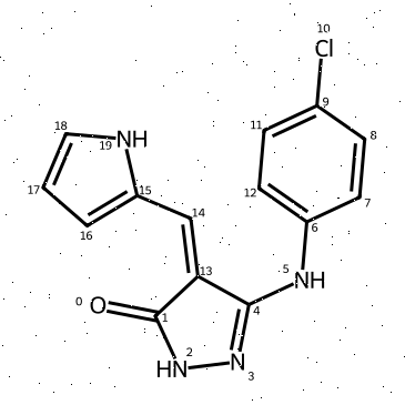 O=C1NN=C(Nc2ccc(Cl)cc2)C1=Cc1ccc[nH]1